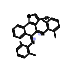 Cc1cccc(C)c1/N=C1/C(=N/c2c(C)cccc2C)c2c(C(C)C)coc2-c2ccccc21